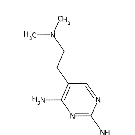 CN(C)CCc1cnc(N)nc1N